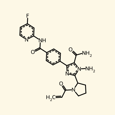 C=CC(=O)N1CCCC1c1nc(-c2ccc(C(=O)Nc3cc(F)ccn3)cc2)c(C(N)=O)n1N